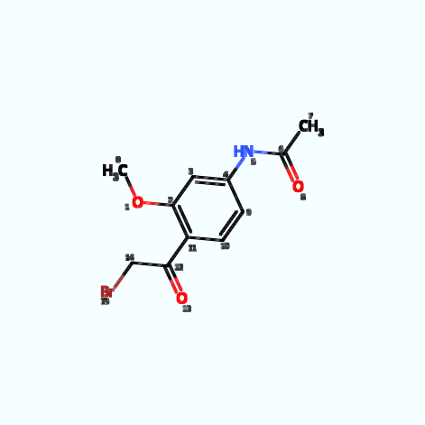 COc1cc(NC(C)=O)ccc1C(=O)CBr